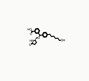 O=C1CC[C@H](COC(c2ccc(CCCCCCO)cc2)c2cccc(C(=O)O)c2)N1